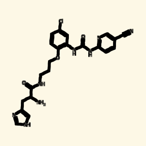 N#Cc1ccc(NC(=O)Nc2cc(Cl)ccc2OCCCNC(=O)C(N)Cc2c[nH]cn2)nc1